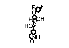 O=C1CCc2cc([C@@H](O)CN3C[C@H]4C[C@H](Oc5ccc(F)cc5F)C[C@@]4(O)C3)ccc2N1